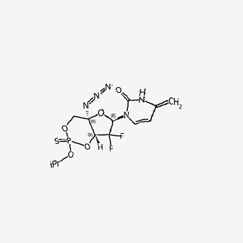 C=C1C=CN([C@@H]2O[C@]3(N=[N+]=[N-])COP(=S)(OC(C)C)O[C@H]3C2(F)F)C(=O)N1